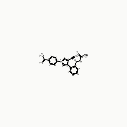 N#Cc1cn(-c2ccc(C(=O)O)cc2)cc1-c1ccccc1OCC(=O)O